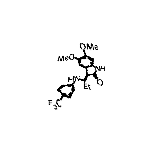 CCC(Nc1ccc(C(F)(F)F)cc1)=C1C(=O)Nc2cc(OC)c(OC)cc21